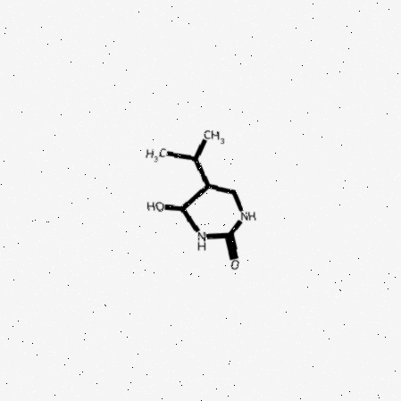 CC(C)C1CNC(=O)NC1O